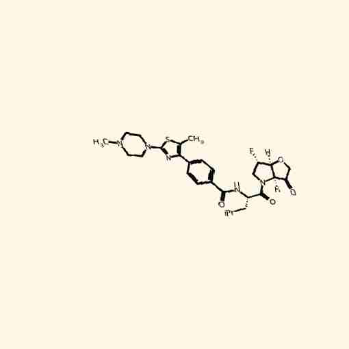 Cc1sc(N2CCN(C)CC2)nc1-c1ccc(C(=O)N[C@@H](CC(C)C)C(=O)N2C[C@H](F)[C@H]3OCC(=O)[C@H]32)cc1